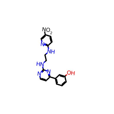 O=[N+]([O-])c1ccc(NCCNc2nccc(-c3cccc(O)c3)n2)nc1